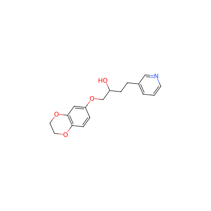 OC(CCc1cccnc1)COc1ccc2c(c1)OCCO2